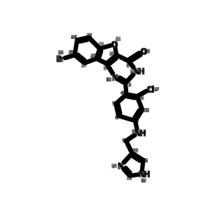 O=c1[nH]c(-c2ccc(NCc3c[nH]cn3)cc2Cl)nc2c1oc1ccc(Br)cc12